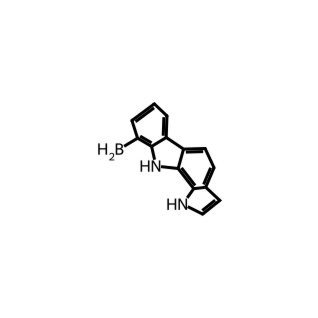 Bc1cccc2c1[nH]c1c2ccc2cc[nH]c21